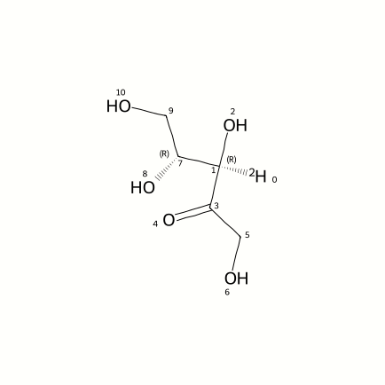 [2H][C@](O)(C(=O)CO)[C@H](O)CO